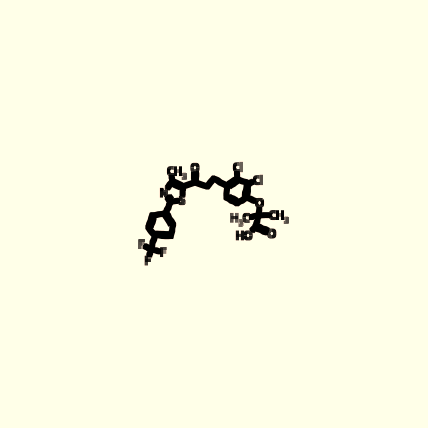 Cc1nc(-c2ccc(C(F)(F)F)cc2)sc1C(=O)CCc1ccc(OC(C)(C)C(=O)O)c(Cl)c1Cl